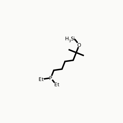 CCP(CC)CCCCC(C)(C)O[SiH3]